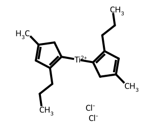 CCCC1=[C]([Ti+2][C]2=C(CCC)C=C(C)C2)CC(C)=C1.[Cl-].[Cl-]